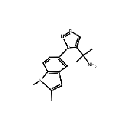 Cc1cc2cc(-n3nncc3C(C)(C)N)ccc2n1C